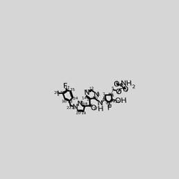 NS(=O)(=O)OC[C@H]1C[C@@H](Nc2ncncc2C(=O)c2ccn(Cc3ccc(F)c(I)c3)n2)[C@@H](F)[C@@H]1O